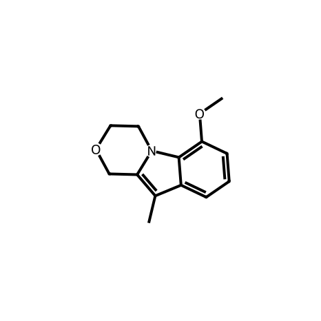 COc1cccc2c(C)c3n(c12)CCOC3